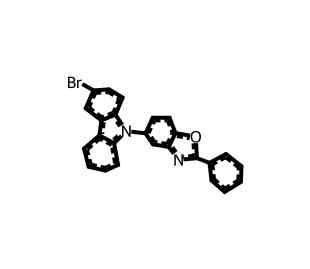 Brc1ccc2c(c1)c1ccccc1n2-c1ccc2oc(-c3ccccc3)nc2c1